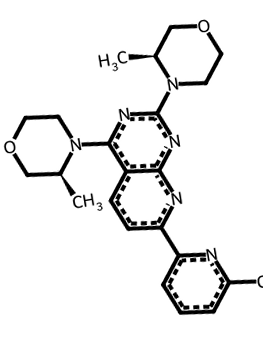 C[C@H]1COCCN1c1nc(N2CCOC[C@@H]2C)c2ccc(-c3cccc(Cl)n3)nc2n1